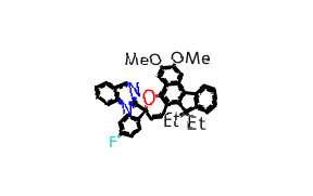 CCC1(CC)c2ccccc2-c2c1c1c(c3cc(OC)c(OC)cc23)OC(c2ccc(F)cc2)(c2ncc3ccccc3n2)C=C1